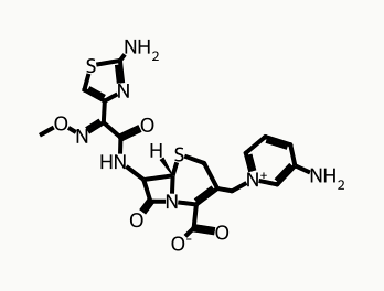 CON=C(C(=O)NC1C(=O)N2C(C(=O)[O-])=C(C[n+]3cccc(N)c3)CS[C@@H]12)c1csc(N)n1